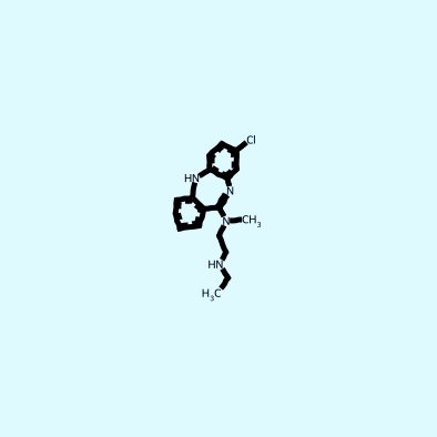 CCNCCN(C)C1=Nc2cc(Cl)ccc2Nc2ccccc21